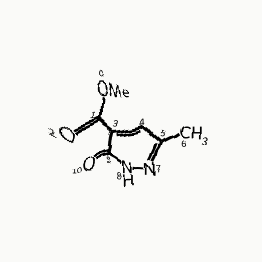 COC(=O)c1cc(C)n[nH]c1=O